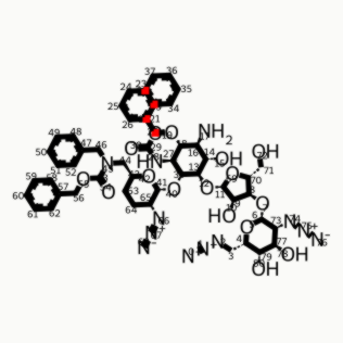 [N-]=[N+]=NC[C@@H]1O[C@H](O[C@H]2[C@@H](O)[C@H](O[C@@H]3[C@@H](O)[C@H](N)[C@@H](OCc4ccccc4)[C@H](NC(=O)OCc4ccccc4)[C@H]3O[C@H]3O[C@H](CN(Cc4ccccc4)C(=O)OCc4ccccc4)CC[C@H]3N=[N+]=[N-])O[C@@H]2CO)[C@H](N=[N+]=[N-])[C@@H](O)[C@@H]1O